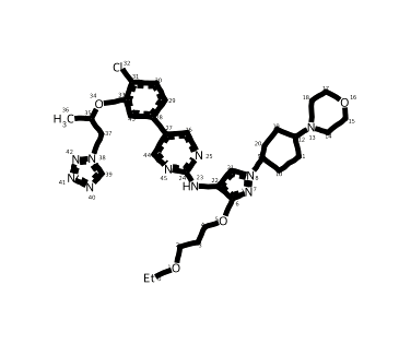 CCOCCCOc1nn(C2CCC(N3CCOCC3)CC2)cc1Nc1ncc(-c2ccc(Cl)c(OC(C)Cn3cnnn3)c2)cn1